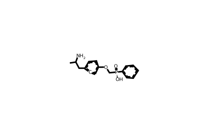 CC(N)Cc1ccc(OC[P@](=O)(O)c2ccccc2)cc1